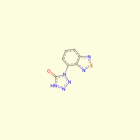 O=c1[nH]nnn1-c1cccc2nsnc12